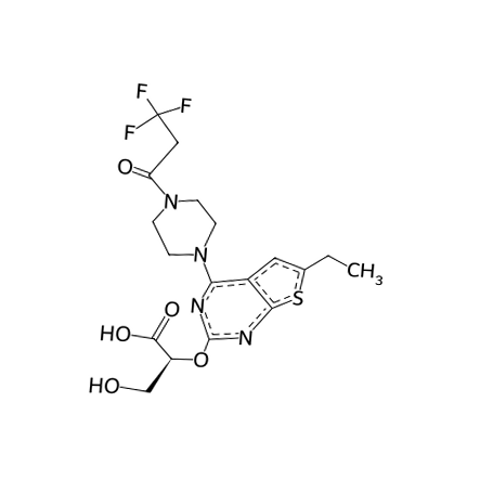 CCc1cc2c(N3CCN(C(=O)CC(F)(F)F)CC3)nc(O[C@@H](CO)C(=O)O)nc2s1